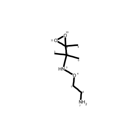 CC(C)(NOCCN)C1(C)OO1